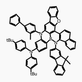 Cc1cc(-c2ccccc2)ccc1N1c2cc(N(c3ccc(C(C)(C)C)cc3)c3ccc(C(C)(C)C)cc3)ccc2B2c3c1cc1c(oc4ccccc41)c3-c1ccc3ccccc3c1N2c1ccc2c(c1)C(C)(C)c1ccccc1-2